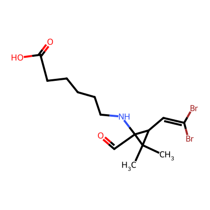 CC1(C)C(C=C(Br)Br)C1(C=O)NCCCCCC(=O)O